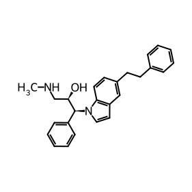 CNC[C@@H](O)[C@H](c1ccccc1)n1ccc2cc(CCc3ccccc3)ccc21